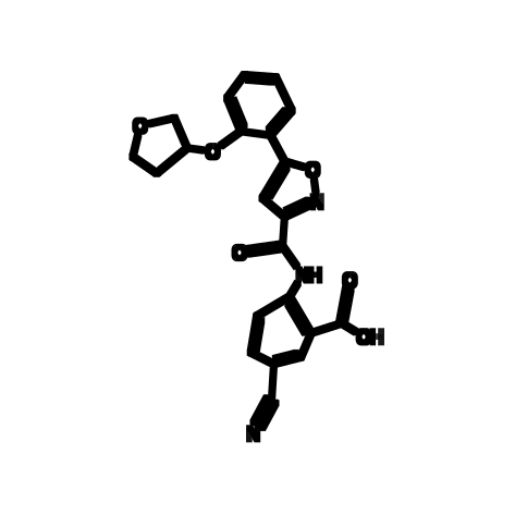 N#Cc1ccc(NC(=O)c2cc(-c3ccccc3OC3CCOC3)on2)c(C(=O)O)c1